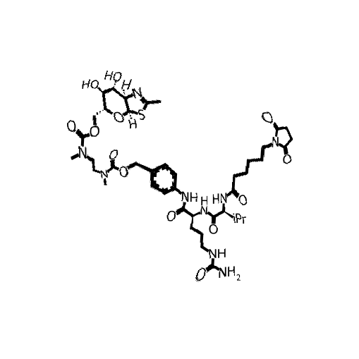 CC1=N[C@@H]2[C@@H](O)[C@H](O)[C@@H](COC(=O)N(C)CCN(C)C(=O)OCc3ccc(NC(=O)[C@H](CCCNC(N)=O)NC(=O)[C@@H](NC(=O)CCCCCN4C(=O)CCC4=O)C(C)C)cc3)O[C@@H]2S1